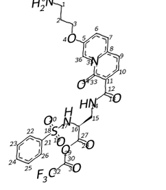 NCCCOc1ccc2ccc(C(=O)NC[C@H](NS(=O)(=O)c3ccccc3)C(=O)OC(=O)C(F)(F)F)c(=O)n2c1